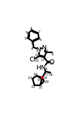 Cc1nn(Cc2ccccc2)c(Cl)c1C(=O)NC(C)C1CC2CCC1C2